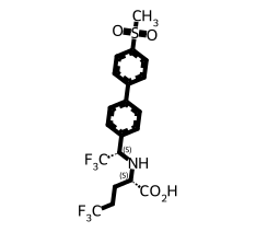 CS(=O)(=O)c1ccc(-c2ccc([C@H](N[C@@H](CCC(F)(F)F)C(=O)O)C(F)(F)F)cc2)cc1